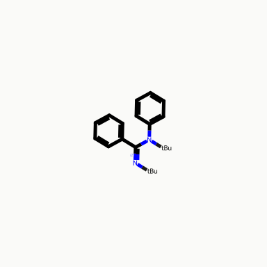 CC(C)(C)/N=C(/c1ccccc1)N(c1ccccc1)C(C)(C)C